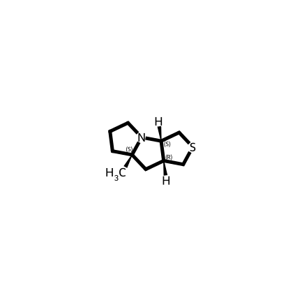 C[C@@]12CCCN1[C@@H]1CSC[C@@H]1C2